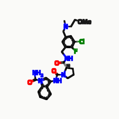 COCCN(C)Cc1cc(Cl)c(F)c(CNC(=O)[C@@H]2CCCN2C(=O)Nc2cn(C(N)=O)c3ccccc23)c1